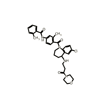 Cc1ccccc1C(=O)Nc1ccc(C(=O)N2CCCC(NCCC(=O)N3CCOCC3)c3cc(Cl)ccc32)c(C)c1